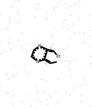 C/C=c1/nccn/c1=C/CC